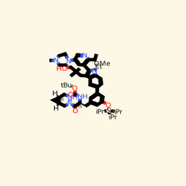 CCn1c(-c2cc(N3CCN(C)CC3)cnc2[C@H](C)OC)c(CC(C)(C)CO)c2cc(-c3cc(C[C@H](NC(=O)OC(C)(C)C)C(=O)N4C[C@@H]5C[C@@H]5CN4)cc(O[Si](C(C)C)(C(C)C)C(C)C)c3)ccc21